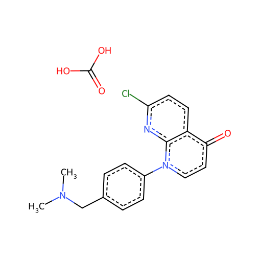 CN(C)Cc1ccc(-n2ccc(=O)c3ccc(Cl)nc32)cc1.O=C(O)O